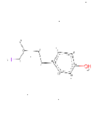 CC(CI)CCc1ccc(O)cc1